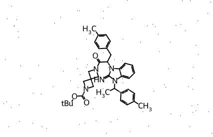 Cc1ccc(CC(C(=O)N2CC3(CN(C(=O)OC(C)(C)C)C3)C2)n2c(=N)n(C(C)c3ccc(C)cc3)c3ccccc32)cc1